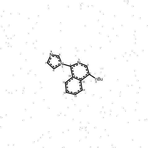 CCCCc1cnc(-n2ccnc2)c2ccccc12